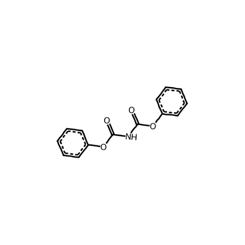 O=C(NC(=O)Oc1ccccc1)Oc1ccccc1